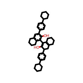 OC1=C(c2c(O)c(-c3ccc(C4CCCCC4)cc3)cc3c2CCCC3)C2=C(CCCC2)CC1c1ccc(C2CCCCC2)cc1